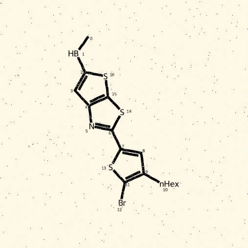 CBc1cc2nc(-c3cc(CCCCCC)c(Br)s3)sc2s1